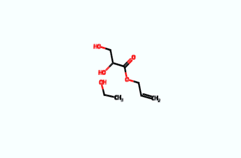 C=CCOC(=O)C(O)CO.CCO